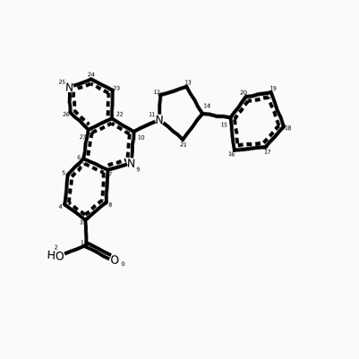 O=C(O)c1ccc2c(c1)nc(N1CCC(c3ccccc3)C1)c1ccncc12